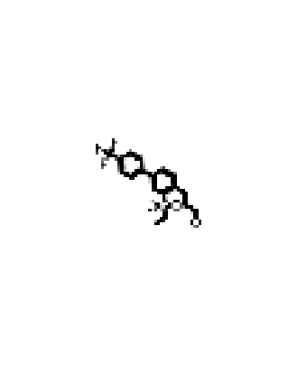 CCS(=O)(=O)c1cc(-c2ccc(C(F)(F)F)cc2)ccc1CCC=O